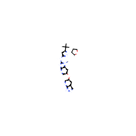 Cn1c(Nc2cc(C(C)(C)C)n([C@@H]3CCOC3)n2)nc2ncc(Oc3cnc4[nH]ncc4c3)cc21